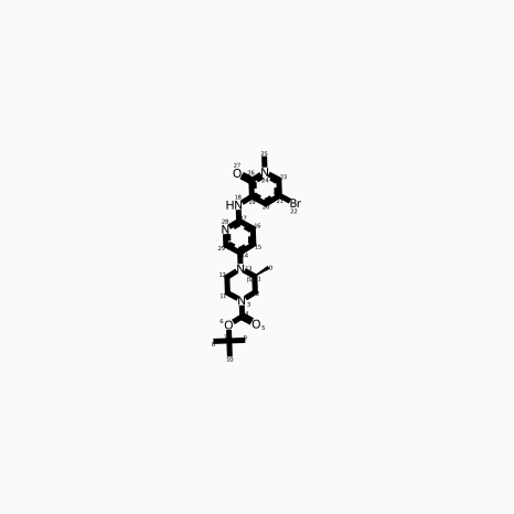 C[C@H]1CN(C(=O)OC(C)(C)C)CCN1c1ccc(Nc2cc(Br)cn(C)c2=O)nc1